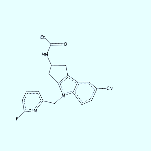 CCC(=O)NC1Cc2c(n(Cc3cccc(F)n3)c3ccc(C#N)cc23)C1